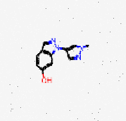 Cn1cc(-n2ncc3ccc(O)cc32)cn1